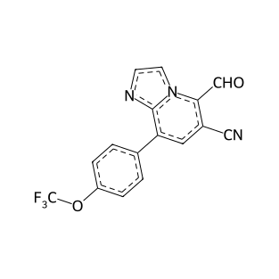 N#Cc1cc(-c2ccc(OC(F)(F)F)cc2)c2nccn2c1C=O